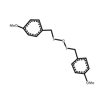 COc1ccc(CSOSCc2ccc(OC)cc2)cc1